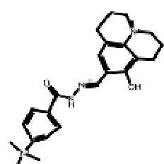 C[N+](C)(C)c1ccc(C(=O)N/N=C/c2cc3c4c(c2O)CCC[N+]4(C)CCC3)cc1